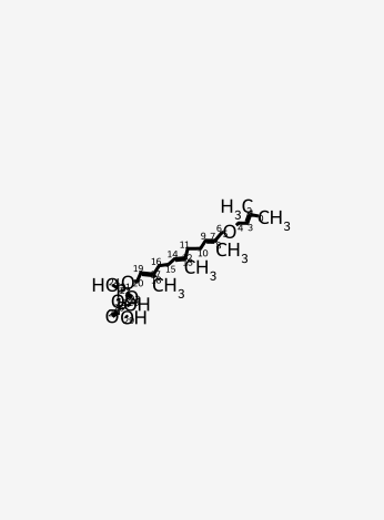 CC(C)=CCOC/C(C)=C/CC/C(C)=C/CC/C(C)=C/COP(=O)(O)OP(=O)(O)O